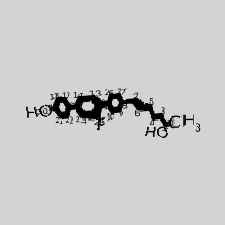 CC(O)CCCC=Cc1ccc(-c2ccc(-c3ccc(O)cc3)cc2F)cc1